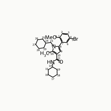 COc1ccc(Br)cc1-c1cc(C(=O)NC2CCCCC2)c(C)n1CC1CCCCC1